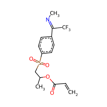 C=CC(=O)OC(C)CS(=O)(=O)c1ccc(/C(=N/C)C(F)(F)F)cc1